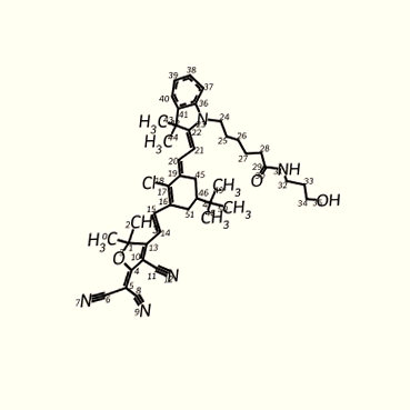 CC1(C)OC(=C(C#N)C#N)C(C#N)=C1/C=C/C1=C(Cl)C(=C/C=C2/N(CCCCCC(=O)NCCCO)c3ccccc3C2(C)C)/CC(C(C)(C)C)C1